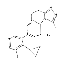 Cc1cncc(-c2cc(Cl)c3c(c2)CCc2nnc(C)n2-3)c1C1CC1